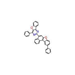 c1ccc(-c2ccc3oc4cc(-c5nc(-c6ccccc6)c6oc7ccccc7c6n5)c5ccccc5c4c3c2)cc1